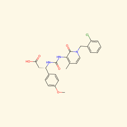 COc1ccc([C@H](CC(=O)O)NC(=O)Nc2c(C)ccn(Cc3ccccc3Cl)c2=O)cc1